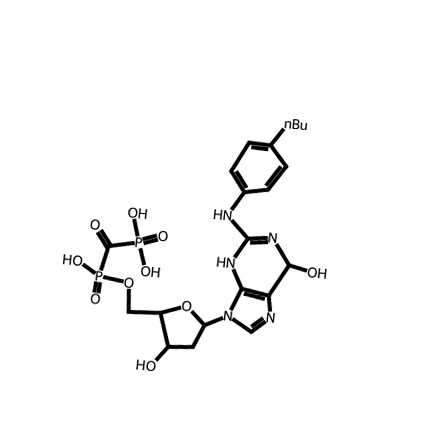 CCCCc1ccc(NC2=NC(O)c3ncn(C4CC(O)C(COP(=O)(O)C(=O)P(=O)(O)O)O4)c3N2)cc1